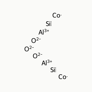 [Al+3].[Al+3].[Co].[Co].[O-2].[O-2].[O-2].[Si].[Si]